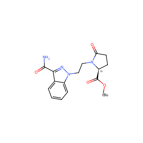 CC(C)(C)OC(=O)[C@@H]1CCC(=O)N1CCn1nc(C(N)=O)c2ccccc21